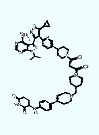 CC(C)n1nc(-c2noc(C3CC3)c2-c2ccc(C3CCN(C(=O)CC(=O)N4CCC(CN5CCC(c6ccc(NC7CCC(=O)NC7=O)cc6)CC5)CC4)CC3)cn2)c2c(N)ncnc21